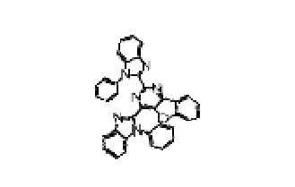 c1ccc(-n2c(-c3nc(-c4nc5ccccc5n4-c4ccccc4)c4oc5ccccc5c4n3)nc3ccccc32)cc1